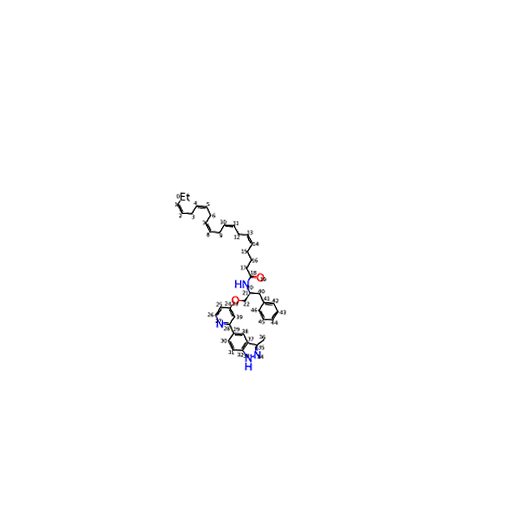 CC/C=C\C/C=C\C/C=C\C/C=C\C/C=C\CCCC(=O)N[C@H](COc1ccnc(-c2ccc3[nH]nc(C)c3c2)c1)Cc1ccccc1